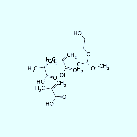 C=C(C)C(=O)O.C=C(C)C(=O)O.C=C(C)C(=O)O.COC(C)OCCO